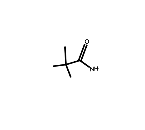 CC(C)(C)C([NH])=O